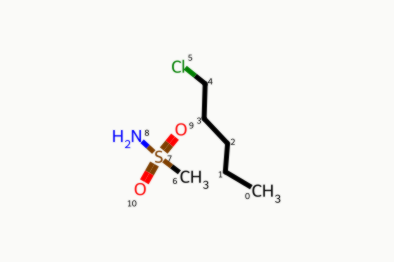 CCCCCCl.CS(N)(=O)=O